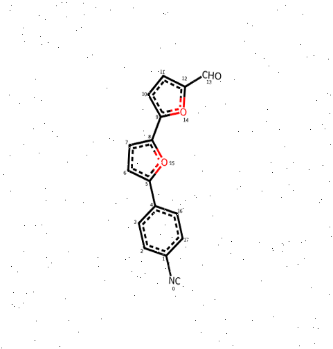 [C-]#[N+]c1ccc(-c2ccc(-c3ccc(C=O)o3)o2)cc1